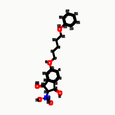 O=C1c2ccc(OCCCCCOc3ccccc3)cc2C(=O)C1[N+](=O)[O-]